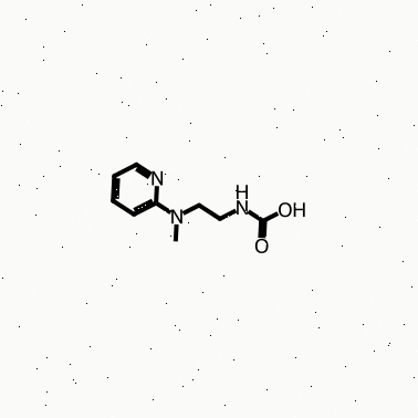 CN(CCNC(=O)O)c1ccccn1